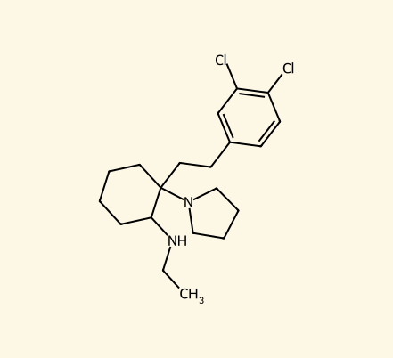 CCNC1CCCCC1(CCc1ccc(Cl)c(Cl)c1)N1CCCC1